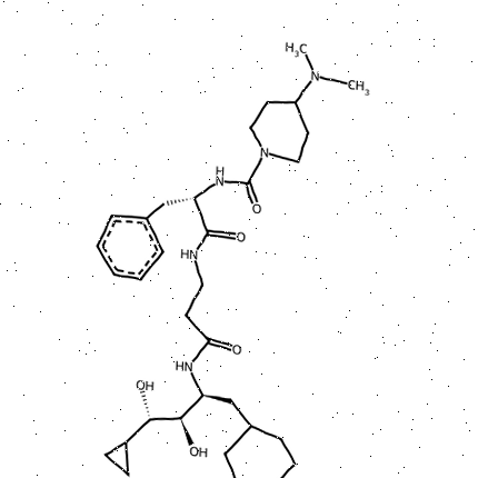 CN(C)C1CCN(C(=O)N[C@@H](Cc2ccccc2)C(=O)NCCC(=O)N[C@@H](CC2CCCCC2)[C@@H](O)[C@@H](O)C2CC2)CC1